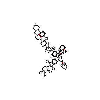 CC1(C)CCC(c2ccc(Cl)cc2)=C(CN2CCN(c3ccc(C(=O)NS(=O)(=O)c4ccc(N[C@H](CCN5C6CCC5CN(Cc5cc(F)c7c(c5)C(=O)N(C5CCC(=O)NC5=O)C7=O)C6)CSc5ccccc5)c(S(=O)(=O)C(F)(F)F)c4)cc3)CC2)C1